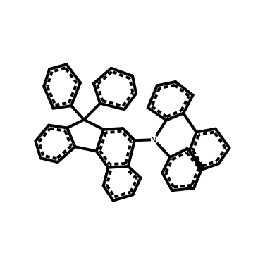 c1ccc(-c2ccccc2N(c2ccccc2)c2cc3c(c4ccccc24)-c2ccccc2C3(c2ccccc2)c2ccccc2)cc1